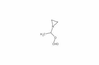 CC(OC=O)N1CC1